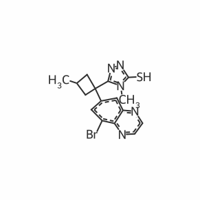 CC1CC(c2cc(Br)c3nccnc3c2)(c2nnc(S)n2C)C1